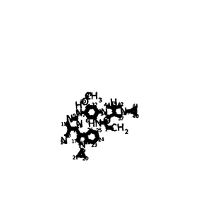 C=CC(=O)Nc1cc(Nc2ncc(C#N)c(-c3cn(C4CC4)c4ccccc34)n2)c(OC)cc1N1CC2CN(C3CC3)C[C@@H]2C1